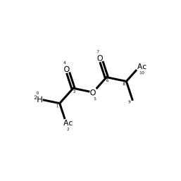 [2H]C(C(C)=O)C(=O)OC(=O)C(C)C(C)=O